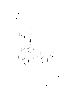 CNC(=O)N1CCCCC1C#Cc1cc(NC(=O)c2cc(F)cc(C(F)(F)F)c2)c(Oc2cc(F)ccc2Cl)c2c(N)nn(C)c12